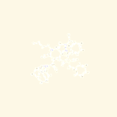 CCCCn1c(=O)c(C(=O)NC23CC4CC(CC(C4)C2)C3)c(OP(=O)(Cc2ccccc2)Cc2ccccc2)c2nn(CC)cc21